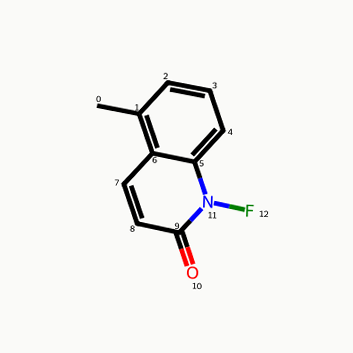 Cc1cccc2c1ccc(=O)n2F